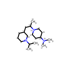 CC(C)N1CCCC(CC(C)N2CCC(N(C)C)CC2)C1